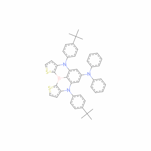 CC(C)(C)c1ccc(N2c3ccsc3B3c4sccc4N(c4ccc(C(C)(C)C)cc4)c4cc(N(c5ccccc5)c5ccccc5)cc2c43)cc1